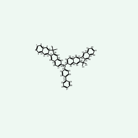 CC1(C)c2cc3ccccc3cc2-c2cc3ccc(N(c4ccc(-c5ccccc5)cc4)c4ccc5cc6c(cc5c4)C(C)(C)c4cc5ccccc5cc4-6)cc3cc21